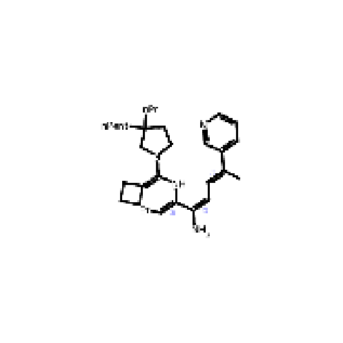 CC/C=C(NC(=C1CCC1)N1CCC(CCC)(CCCCC)C1)/C(N)=C\C=C(/C)c1cccnc1